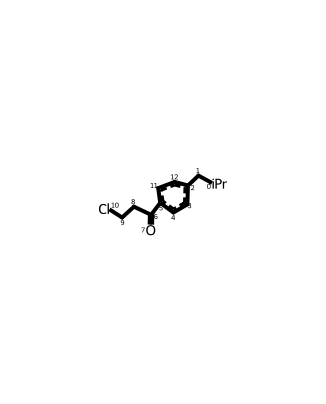 CC(C)Cc1ccc(C(=O)CCCl)cc1